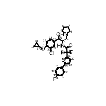 O=C(N[C@H](CN1CCCC1)[C@H](O)c1ccc(OC2CC2)c(Cl)c1)C(F)(F)c1ccc(-c2ccc(F)cc2)s1